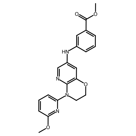 COC(=O)c1cccc(Nc2cnc3c(c2)OCCN3c2cccc(OC)n2)c1